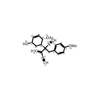 C#[N+]C(=C)C(Cc1ccc(OC)cc1)([N+]#C)[C@H]1C[C@@H](O)C=C[C@@H]1OC(C)=O